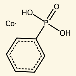 O=P(O)(O)c1ccccc1.[Co]